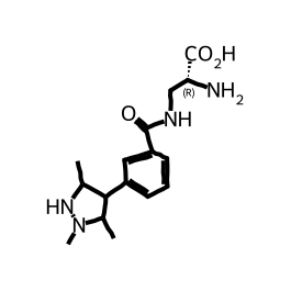 CC1NN(C)C(C)C1c1cccc(C(=O)NC[C@@H](N)C(=O)O)c1